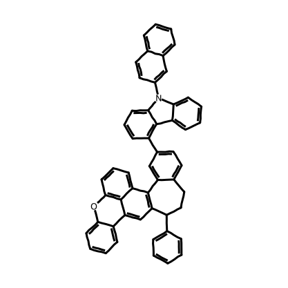 c1ccc(C2CCc3ccc(-c4cccc5c4c4ccccc4n5-c4ccc5ccccc5c4)cc3-c3c2cc2c4c(cccc34)Oc3ccccc3-2)cc1